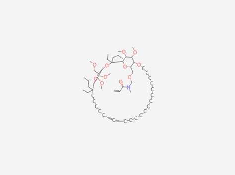 C=CC(=O)N(C)COCC1OC2C(OC)C(OC)C1OCCCCCCCCCCCCCC=C=CCCCCCC(CC)(CCC)C1OC(COC)C(OC2(CC)CCC)C(OC)C1OC